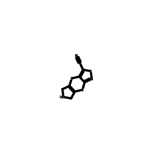 N#Cc1snc2c1SC1=C(CNC1)S2